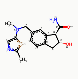 Cc1ncc(N(C)Cc2ccc3c(c2)[C@@H](C(N)=O)[C@H](O)C3)s1